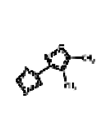 Cc1onc(-c2cscn2)c1C